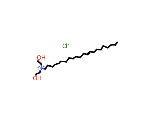 CCCCCCCCC=CCCCCCCCCCCCC[N+](C)(CCO)CCO.[Cl-]